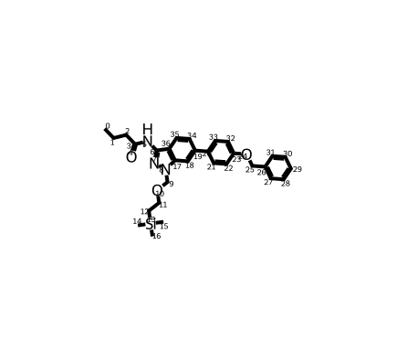 CCCC(=O)Nc1nn(COCC[Si](C)(C)C)c2cc(-c3ccc(OCc4ccccc4)cc3)ccc12